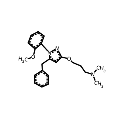 COc1ccccc1-n1nc(OCCCN(C)C)cc1Cc1ccccc1